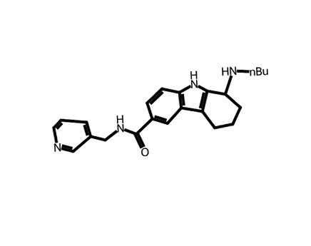 CCCCNC1CCCc2c1[nH]c1ccc(C(=O)NCc3cccnc3)cc21